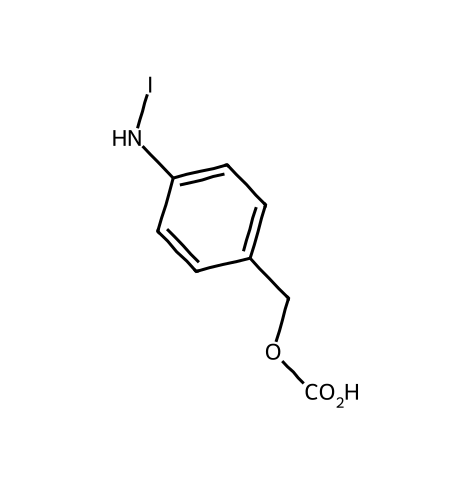 O=C(O)OCc1ccc(NI)cc1